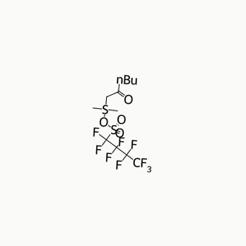 CCCCC(=O)CS(C)(C)OS(=O)(=O)C(F)(F)C(F)(F)C(F)(F)C(F)(F)F